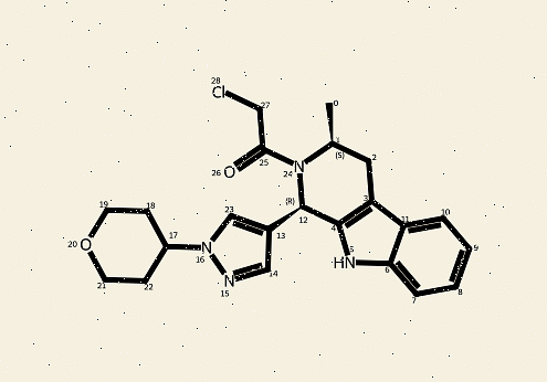 C[C@H]1Cc2c([nH]c3ccccc23)[C@@H](c2cnn(C3CCOCC3)c2)N1C(=O)CCl